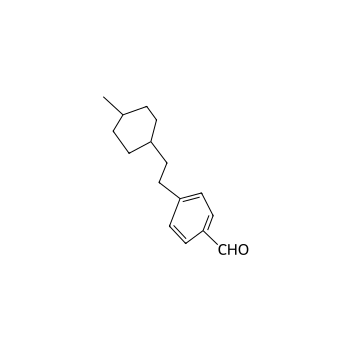 CC1CCC(CCc2ccc(C=O)cc2)CC1